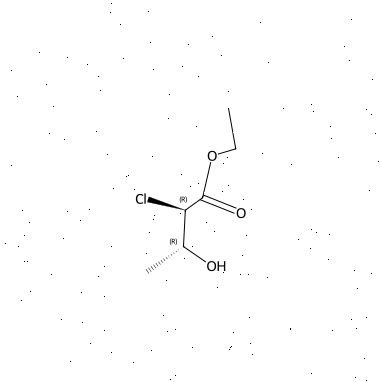 CCOC(=O)[C@H](Cl)[C@@H](C)O